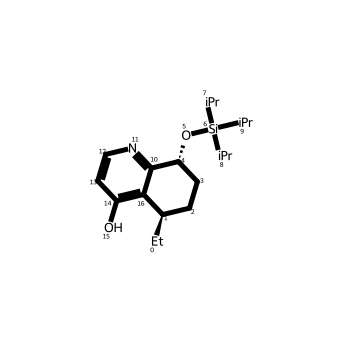 CC[C@@H]1CC[C@@H](O[Si](C(C)C)(C(C)C)C(C)C)c2nccc(O)c21